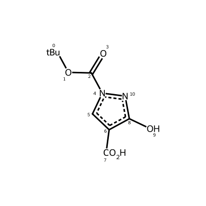 CC(C)(C)OC(=O)n1cc(C(=O)O)c(O)n1